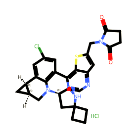 Cl.O=C1CCC(=O)N1Cc1cc2ncnc(-c3cc(Cl)cc4c3N([C@H]3CNC5(CCC5)C3)C[C@H]3C[C@@H]43)c2s1